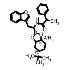 CC(C(=O)NC(Cc1coc2ccccc12)B1OC2C[C@@H](C(C)(C)C)CC[C@]2(C)O1)c1ccccc1